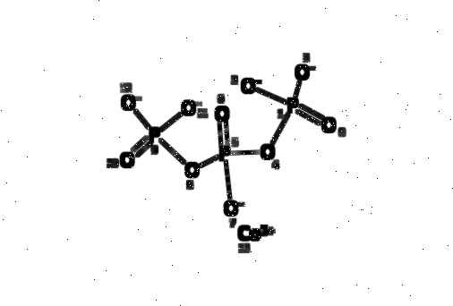 O=P([O-])([O-])OP(=O)([O-])OP(=O)([O-])[O-].[Co+5]